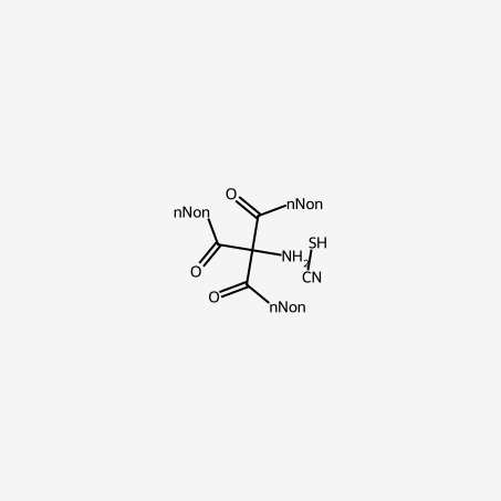 CCCCCCCCCC(=O)C(N)(C(=O)CCCCCCCCC)C(=O)CCCCCCCCC.N#CS